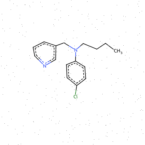 CCCCN(Cc1cccnc1)c1ccc(Cl)cc1